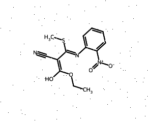 CCOC(O)=C(C#N)C(=Nc1ccccc1[N+](=O)[O-])SC